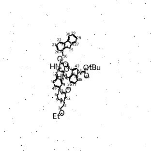 CCOCCN1CCN(c2ccc(C[C@H](NC(=O)OCc3cccc4c3Cc3ccccc3-4)C(=O)Nc3cccc4c3ccn4C(=O)OC(C)(C)C)cc2)C(=O)C1